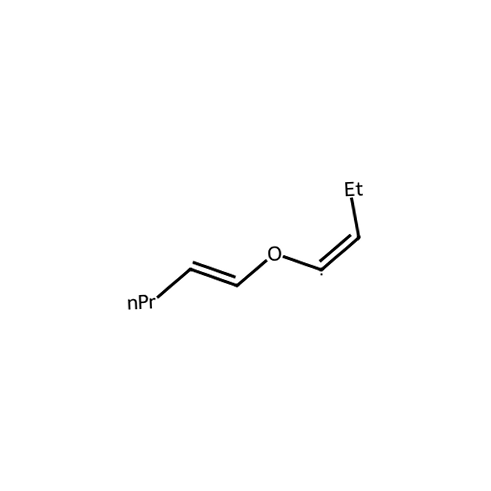 CC/C=[C]\O/C=C/CCC